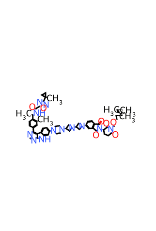 Cc1cc(-c2ncnc3[nH]c4cc(N5CCN(C6CN(C7CN(c8ccc9c(c8)C(=O)N(C8CCC(=O)N(COCC[Si](C)(C)C)C8=O)C9=O)C7)C6)CC5)ccc4c23)ccc1[C@@H](C)NC(=O)c1nc(C2(C)CC2)no1